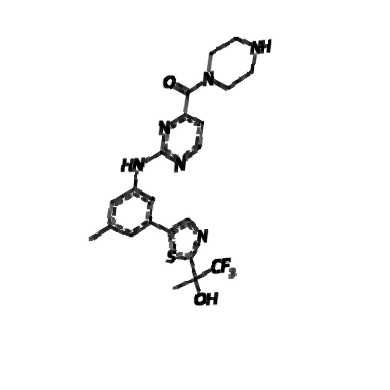 Cc1cc(Nc2nccc(C(=O)N3CCNCC3)n2)cc(-c2cnc(C(C)(O)C(F)(F)F)s2)c1